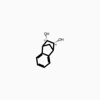 O[C@@H]1C2CC(c3ccccc32)[C@@H]1O